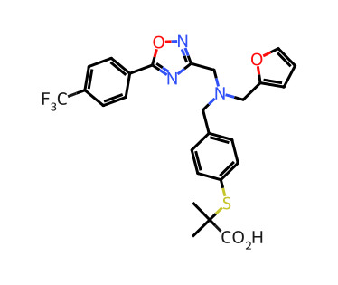 CC(C)(Sc1ccc(CN(Cc2noc(-c3ccc(C(F)(F)F)cc3)n2)Cc2ccco2)cc1)C(=O)O